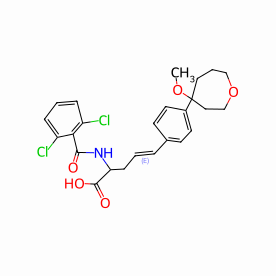 COC1(c2ccc(/C=C/CC(NC(=O)c3c(Cl)cccc3Cl)C(=O)O)cc2)CCCOCC1